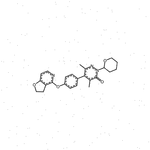 Cc1nn(C2CCCCO2)c(=O)c(C)c1-c1ccc(Oc2nccc3c2CCO3)cc1